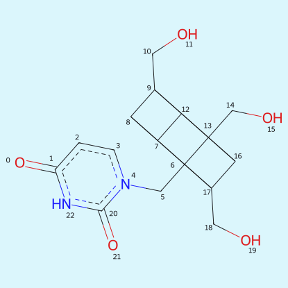 O=c1ccn(CC23C4C5C6(CO)C4C2(CO)C6C53CO)c(=O)[nH]1